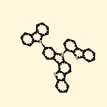 c1ccc2c(c1)sc1c(-n3c4cc(-n5c6ccccc6c6ccccc65)ccc4c4c5sc6ccccc6c5ccc43)cccc12